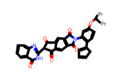 CC(C)C(Oc1ccc(C2=CC=CC2)c(N2C(=O)c3cc4c(cc3C2=O)C(=O)C(c2nc3ccccc3c(=O)[nH]2)C4=O)c1)C(C)C